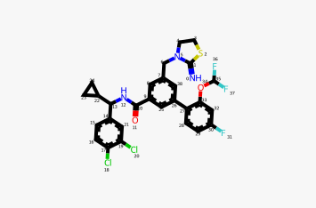 N=C1SCCN1Cc1cc(C(=O)NC(c2ccc(Cl)c(Cl)c2)C2CC2)cc(-c2ccc(F)cc2OC(F)F)c1